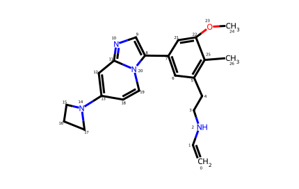 C=CNCCc1cc(-c2cnc3cc(N4CCC4)ccn23)cc(OC)c1C